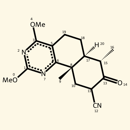 COc1nc(OC)c2c(n1)[C@@]1(C)CC(C#N)C(=O)[C@@H](C)[C@@H]1CC2